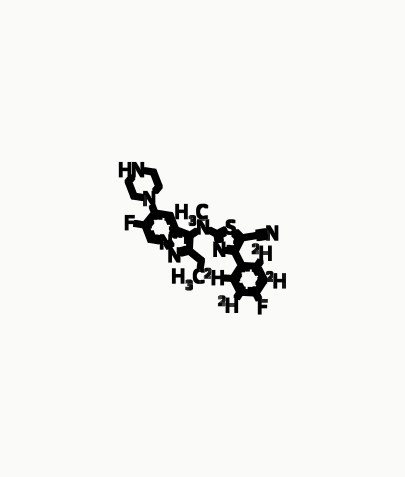 [2H]c1c([2H])c(-c2nc(N(C)c3c(CC)nn4cc(F)c(N5CCNCC5)cc34)sc2C#N)c([2H])c([2H])c1F